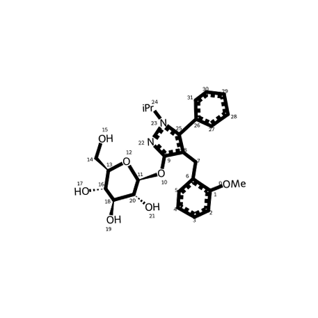 COc1ccccc1Cc1c(O[C@@H]2O[C@H](CO)[C@@H](O)[C@H](O)[C@H]2O)nn(C(C)C)c1-c1ccccc1